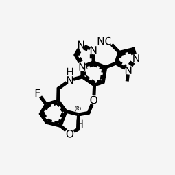 Cn1ncc(C#N)c1-c1cc2c(n3cnnc13)NCc1c(F)ccc3c1[C@H](CO3)CO2